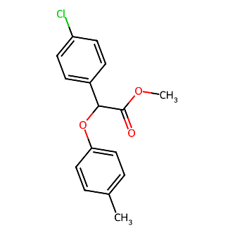 COC(=O)C(Oc1ccc(C)cc1)c1ccc(Cl)cc1